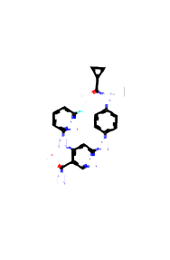 CN(C(=O)C1CC1)c1ccc(Nc2cc(N(C)c3cccc(F)n3)c(C(N)=O)cn2)cc1